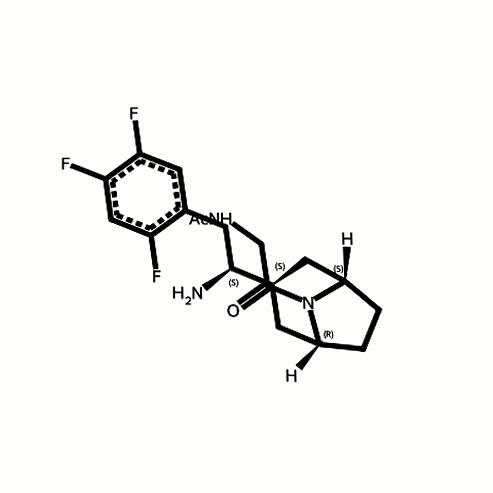 CC(=O)NCC(=O)N1[C@@H]2CC[C@H]1C[C@H]([C@@H](N)Cc1cc(F)c(F)cc1F)C2